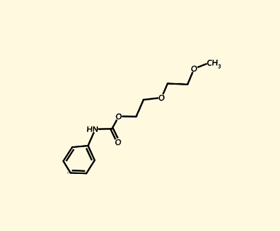 COCCOCCOC(=O)Nc1cc[c]cc1